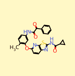 Cc1ccc(NC(=O)C(=O)c2ccccc2)cc1Oc1ccc2nc(NC(=O)C3CC3)sc2n1